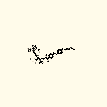 CC(C)(C)[Si](C)(C)OCCOC(CN)N(CCNC(=O)c1ccc(N=Nc2ccc(OCCCN=[N+]=[N-])cc2)cc1)C(=O)O